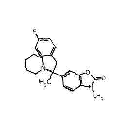 Cn1c(=O)oc2cc(C(C)(Cc3ccc(F)cc3)N3CCCCC3)ccc21